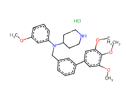 COc1cccc(N(Cc2cccc(-c3cc(OC)c(OC)c(OC)c3)c2)C2CCNCC2)c1.Cl